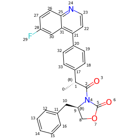 C[C@@H](C(=O)N1C(=O)OC[C@H]1Cc1ccccc1)c1ccc(-c2ccnc3ccc(F)cc23)cc1